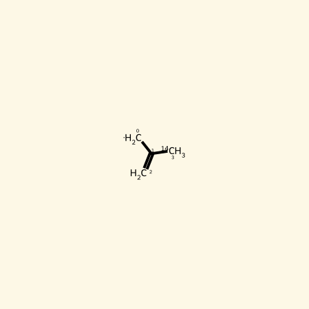 [CH2]C(=C)[14CH3]